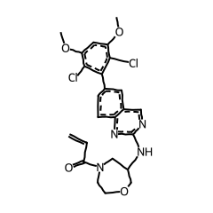 C=CC(=O)N1CCOCC(Nc2ncc3cc(-c4c(Cl)c(OC)cc(OC)c4Cl)ccc3n2)C1